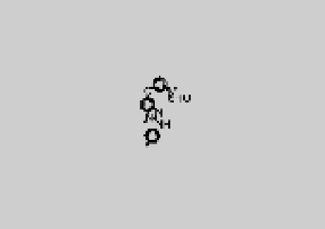 CN(C=O)c1cc(Oc2ccc3c(c2)nc(Nc2ccc(I)cc2)n3C)ccn1